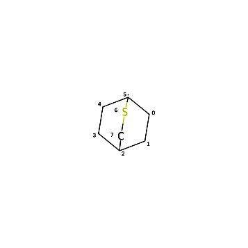 C1CC2CC[C]1SC2